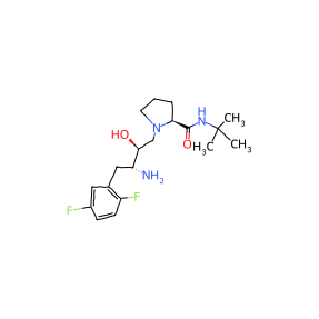 CC(C)(C)NC(=O)[C@@H]1CCCN1C[C@H](O)[C@H](N)Cc1cc(F)ccc1F